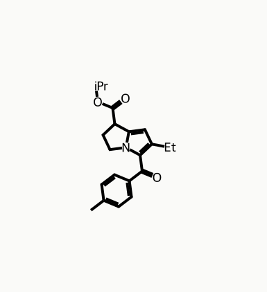 CCc1cc2n(c1C(=O)c1ccc(C)cc1)CCC2C(=O)OC(C)C